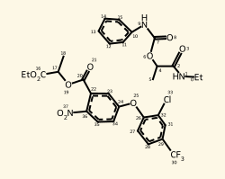 CCNC(=O)C(C)OC(=O)Nc1ccccc1.CCOC(=O)C(C)OC(=O)c1cc(Oc2ccc(C(F)(F)F)cc2Cl)ccc1[N+](=O)[O-]